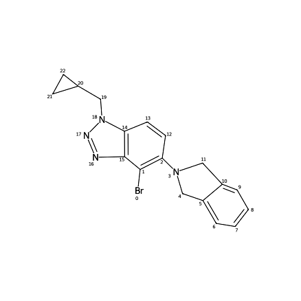 Brc1c(N2Cc3ccccc3C2)ccc2c1nnn2CC1CC1